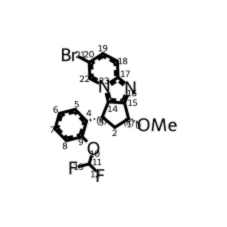 CO[C@@H]1C[C@H](c2ccccc2OC(F)F)c2c1nc1ccc(Br)cn21